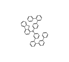 c1ccc(-c2cccc(-c3ccccc3-c3cccc(N(c4ccc(-c5ccccc5-c5ccccc5)cc4)c4cccc5c4sc4ccccc45)c3)c2)cc1